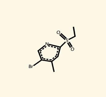 CCS(=O)(=O)c1cc(C)c(Br)cn1